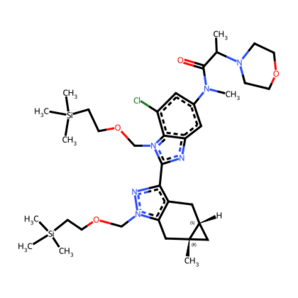 CC(C(=O)N(C)c1cc(Cl)c2c(c1)nc(-c1nn(COCC[Si](C)(C)C)c3c1C[C@@H]1C[C@]1(C)C3)n2COCC[Si](C)(C)C)N1CCOCC1